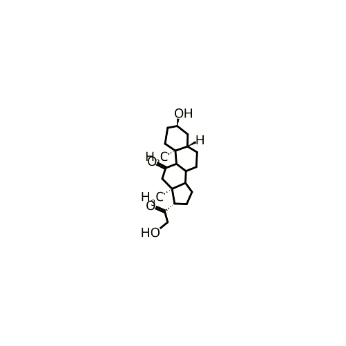 C[C@]12CC(=O)C3C(CC[C@H]4C[C@H](O)CC[C@]34C)C1CC[C@@H]2C(=O)CO